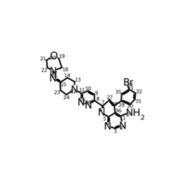 Nc1ncnc2nc(-c3ccc(N4CCC(=NN5CCOCC5)CC4)nn3)cc(-c3cccc(Br)c3)c12